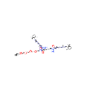 CCCOCCOCCOCCOCCNC(=O)[C@@H](CCCCNC(=O)/C=C(C)/C=C/C=C(C)/C=C/C1=C(C)CCCC1(C)C)NC(=O)/C=C(C)/C=C/C=C(C)/C=C/C1=C(C)CCCC1(C)C